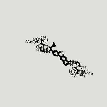 COC(=O)N[C@H](C(=O)N1[C@@H](C)CC[C@H]1c1nc(C2CC2)c(-c2ccc3c(c2)COc2cc4c(ccc5nc([C@@H]6CC[C@H](C)N6C(=O)[C@@H](NC(=O)OC)C(C)(C)C(F)(F)F)[nH]c54)cc2-3)[nH]1)C(C)(C)C(F)(F)F